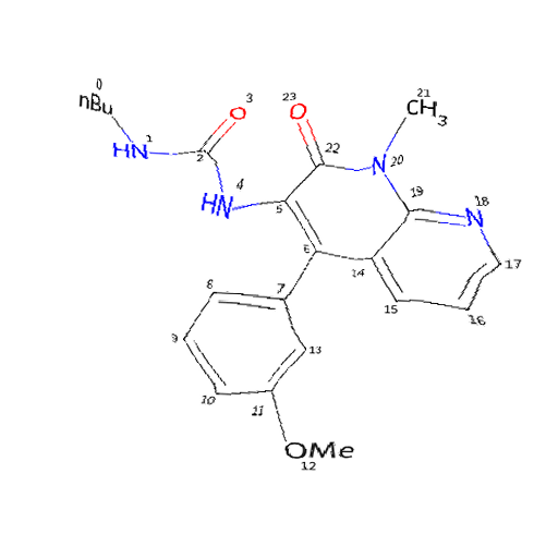 CCCCNC(=O)Nc1c(-c2cccc(OC)c2)c2cccnc2n(C)c1=O